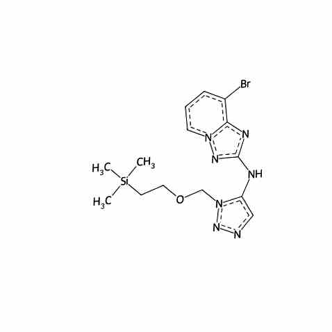 C[Si](C)(C)CCOCn1nncc1Nc1nc2c(Br)cccn2n1